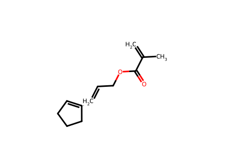 C=CCOC(=O)C(=C)C.[C]1=CCCC1